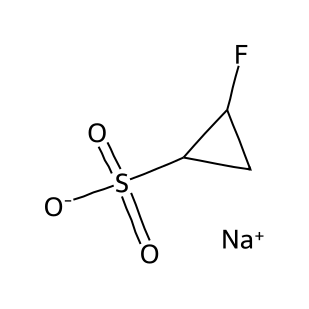 O=S(=O)([O-])C1CC1F.[Na+]